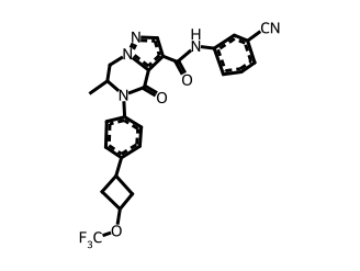 CC1Cn2ncc(C(=O)Nc3cccc(C#N)c3)c2C(=O)N1c1ccc(C2CC(OC(F)(F)F)C2)cc1